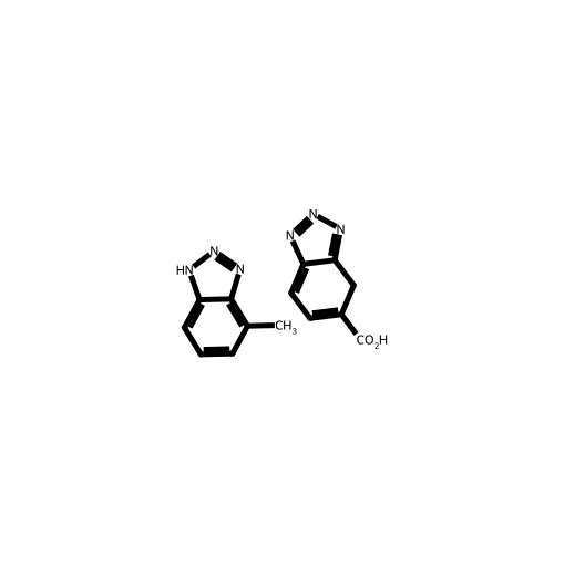 Cc1cccc2[nH]nnc12.O=C(O)C1=CC=C2N=NN=C2C1